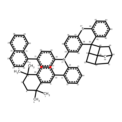 CC1(C)CCC(C)(C)c2cc(-c3ccccc3N(c3ccc(-c4cccc5ccccc45)cc3)c3ccc4c(c3)C3(c5ccccc5S4)C4CC5CC6CC3C64C5)ccc21